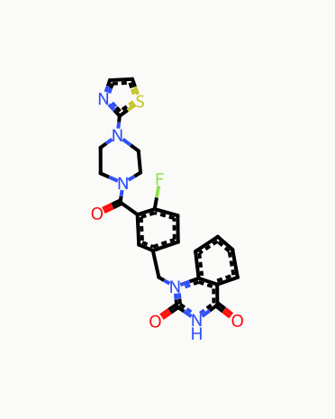 O=C(c1cc(Cn2c(=O)[nH]c(=O)c3ccccc32)ccc1F)N1CCN(c2nccs2)CC1